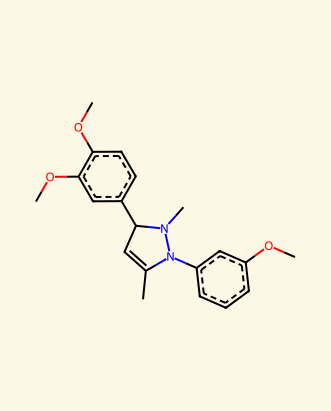 COc1cccc(N2C(C)=CC(c3ccc(OC)c(OC)c3)N2C)c1